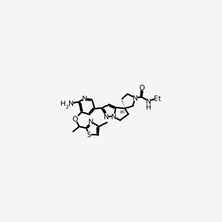 CCNC(=O)N1CC[C@@]2(CCn3nc(-c4cnc(N)c(OC(C)c5nc(C)cs5)c4)cc32)C1